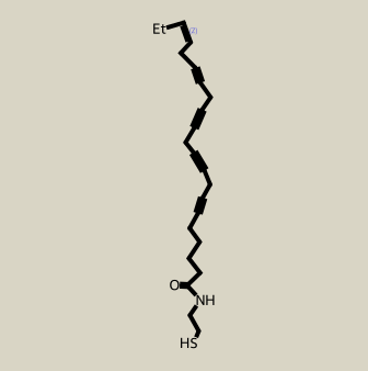 CC/C=C\CC#CCC#CCC#CCC#CCCCCC(=O)NCCS